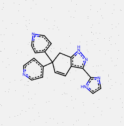 C1=CC(c2ccncc2)(c2ccncc2)Cc2[nH]nc(-c3ncc[nH]3)c21